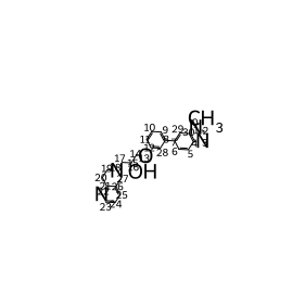 Cn1cnc2ccc(-c3cccc(OCC(O)CN4CCc5ncccc5C4)c3)cc21